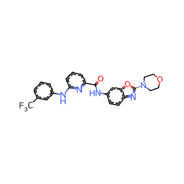 O=C(Nc1ccc2nc(N3CCOCC3)oc2c1)c1cccc(Nc2cccc(C(F)(F)F)c2)n1